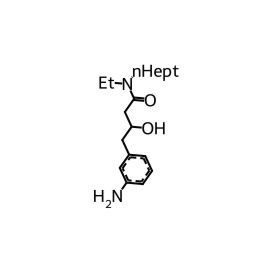 CCCCCCCN(CC)C(=O)CC(O)Cc1cccc(N)c1